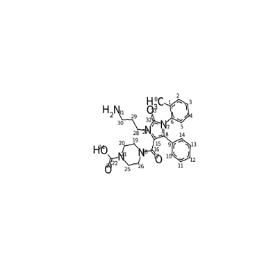 Cc1ccccc1-n1c(-c2ccccc2)c(C(=O)N2CCN(C(=O)O)CC2)n(CCCN)c1=O